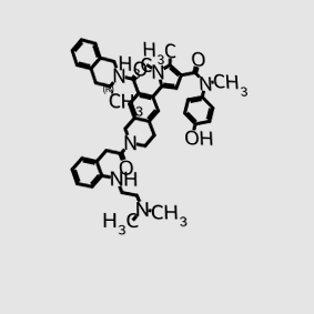 Cc1c(C(=O)N(C)c2ccc(O)cc2)cc(-c2cc3c(cc2C(=O)N2Cc4ccccc4C[C@H]2C)CN(C(=O)Cc2ccccc2NCCN(C)C)CC3)n1C